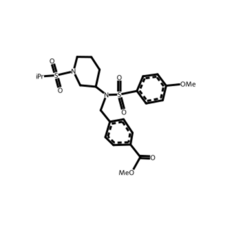 COC(=O)c1ccc(CN(C2CCCN(S(=O)(=O)C(C)C)C2)S(=O)(=O)c2ccc(OC)cc2)cc1